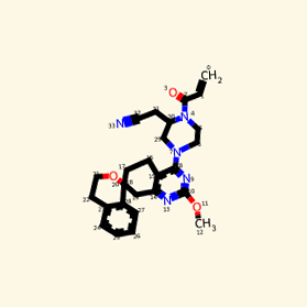 C=CC(=O)N1CCN(c2nc(OC)nc3c2CCC2(C3)OCCc3ccccc32)CC1CC#N